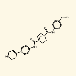 NCc1ccc(NC(=O)C23CCC(C(=O)Nc4ccc(C5=CCNCC5)cc4)(CC2)C3)cc1